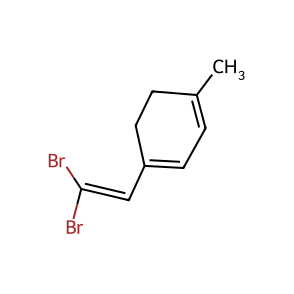 CC1=CC=C(C=C(Br)Br)CC1